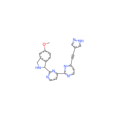 COc1ccc2c(c1)CNC2c1nccc(-c2nccc(C#Cc3cn[nH]c3)n2)n1